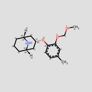 COCOc1cc(C)ccc1O[C@H]1C[C@H]2CCC[C@@H](C1)N2